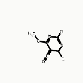 COC1=NC(Cl)=NC(Cl)C1=C=O